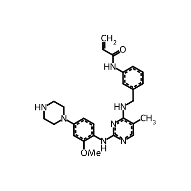 C=CC(=O)Nc1cccc(CNc2nc(Nc3ccc(N4CCNCC4)cc3OC)ncc2C)c1